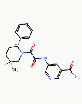 C[C@]1(F)CC[C@H](c2ccccc2)N(C(=O)C(=O)Nc2cncc(C(N)=O)c2)C1